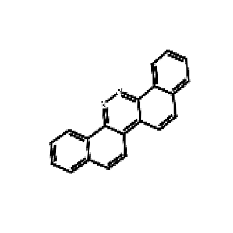 c1ccc2c(c1)ccc1c3ccc4ccccc4c3nnc21